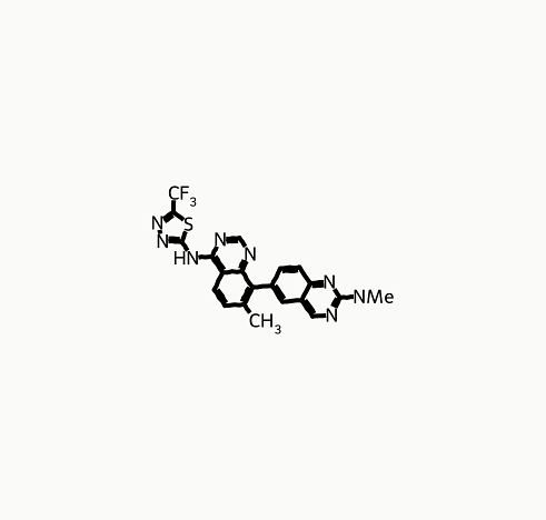 CNc1ncc2cc(-c3c(C)ccc4c(Nc5nnc(C(F)(F)F)s5)ncnc34)ccc2n1